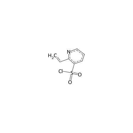 C=Cc1ncccc1S(=O)(=O)Cl